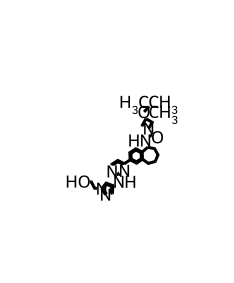 CC(C)(C)OC1CN(C(=O)NC2CCCCc3cc(-c4ccnc(Nc5cnn(CCO)c5)n4)ccc32)C1